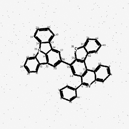 c1ccc(-c2nc3ccccc3c3c2cc(-c2cc4c5ccccc5n5c6ccccc6c(c2)c45)c2sc4ccccc4c23)cc1